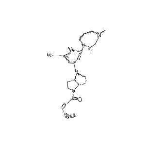 C[C@H]1CN(C)CCCN1c1nc(C#N)cc(N2CCC3C2CCN3C(=O)OC(C)(C)C)n1